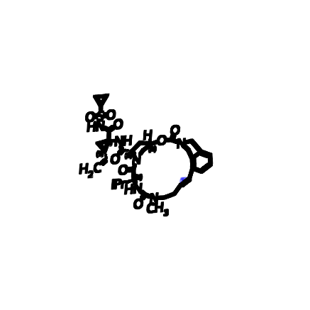 C=C[C@@H]1C[C@]1(NC(=O)[C@@H]1C[C@@H]2CN1C(=O)[C@H](C(C)C)NC(=O)N(C)CC/C=C/c1cccc3c1CN(C3)C(=O)O2)C(=O)NS(=O)(=O)C1CC1